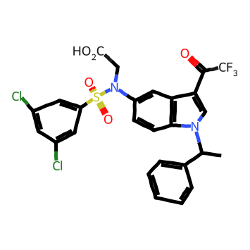 CC(c1ccccc1)n1cc(C(=O)C(F)(F)F)c2cc(N(CC(=O)O)S(=O)(=O)c3cc(Cl)cc(Cl)c3)ccc21